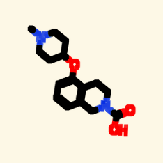 CN1CCC(Oc2cccc3c2CCN(C(=O)O)C3)CC1